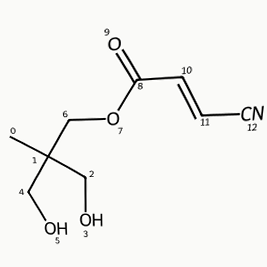 CC(CO)(CO)COC(=O)C=CC#N